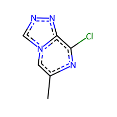 Cc1cn2cnnc2c(Cl)n1